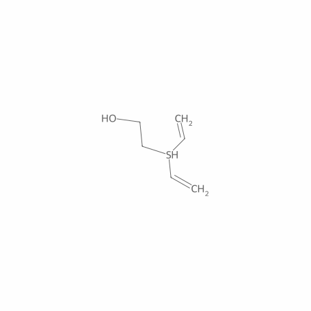 C=C[SH](C=C)CCO